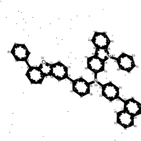 c1ccc(-c2cccc3c2oc2ccc(-c4cccc(N(c5ccc(-c6cccc7ccccc67)cc5)c5ccc6c7ccccc7n(-c7ccccc7)c6c5)c4)cc23)cc1